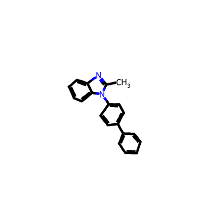 Cc1nc2ccccc2n1-c1ccc(-c2ccccc2)cc1